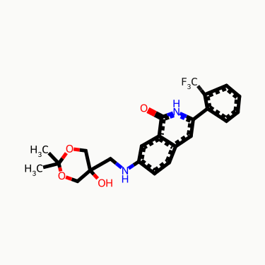 CC1(C)OCC(O)(CNc2ccc3cc(-c4ccccc4C(F)(F)F)[nH]c(=O)c3c2)CO1